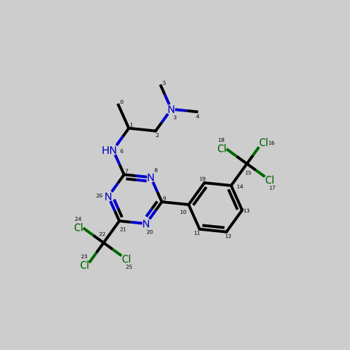 CC(CN(C)C)Nc1nc(-c2cccc(C(Cl)(Cl)Cl)c2)nc(C(Cl)(Cl)Cl)n1